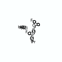 CC(C)N1CCN(C(CN2CCN(CCC(=O)c3ccccc3-c3ccc(F)cc3)CC2)c2ccc(F)cc2)CC1.Cl.Cl.Cl.Cl